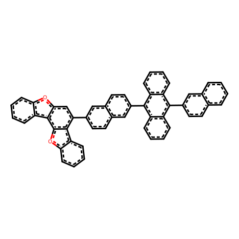 c1ccc2cc(-c3c4ccccc4c(-c4ccc5cc(-c6cc7oc8ccccc8c7c7oc8ccccc8c67)ccc5c4)c4ccccc34)ccc2c1